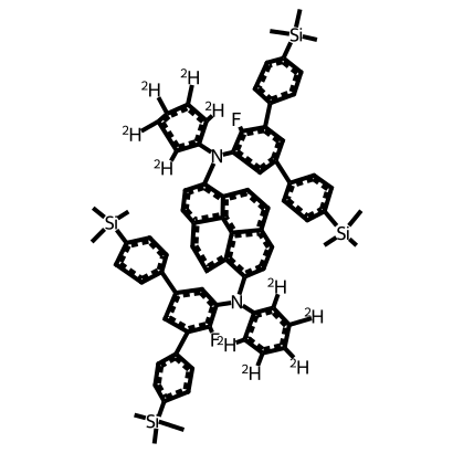 [2H]c1c([2H])c([2H])c(N(c2cc(-c3ccc([Si](C)(C)C)cc3)cc(-c3ccc([Si](C)(C)C)cc3)c2F)c2ccc3ccc4c(N(c5cc(-c6ccc([Si](C)(C)C)cc6)cc(-c6ccc([Si](C)(C)C)cc6)c5F)c5c([2H])c([2H])c([2H])c([2H])c5[2H])ccc5ccc2c3c54)c([2H])c1[2H]